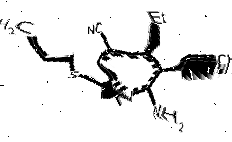 C#Cc1c(N)nc(SCC=C)c(C#N)c1CC